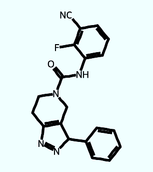 N#Cc1cccc(NC(=O)N2CCC3=C(C2)C(c2ccccc2)N=N3)c1F